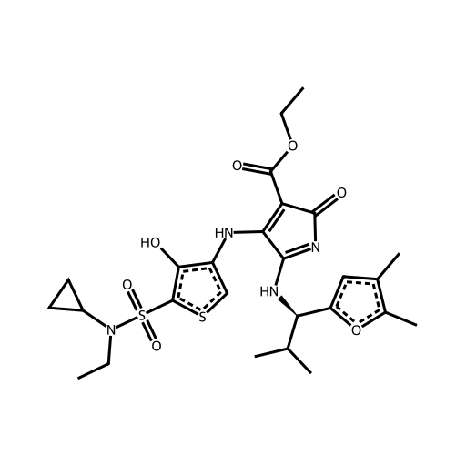 CCOC(=O)C1=C(Nc2csc(S(=O)(=O)N(CC)C3CC3)c2O)C(N[C@@H](c2cc(C)c(C)o2)C(C)C)=NC1=O